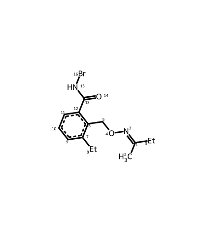 CCC(C)=NOCc1c(CC)cccc1C(=O)NBr